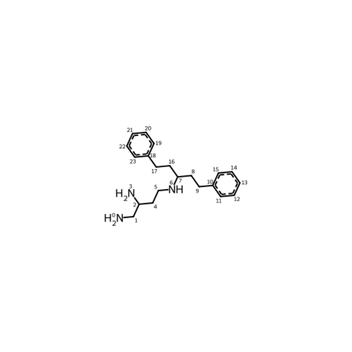 NCC(N)CCNC(CCc1ccccc1)CCc1ccccc1